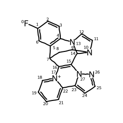 Fc1ccc2c(c1)C1CCN3C=CN2C3c2c1[n+]1ccccc1c1ccnn21